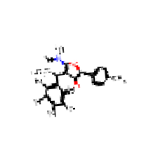 [2H]c1c([2H])c([2H])c(C(C2=C(N([2H])[2H])OC(c3ccc(C(F)(F)F)cc3)C2=O)S(=O)(=O)O)c([2H])c1[2H]